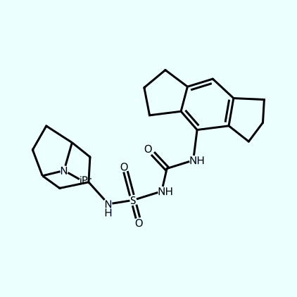 CC(C)N1C2CCC1CC(NS(=O)(=O)NC(=O)Nc1c3c(cc4c1CCC4)CCC3)C2